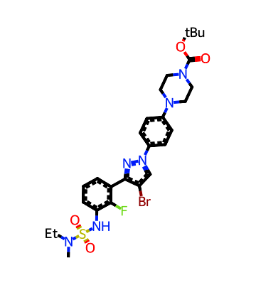 CCN(C)S(=O)(=O)Nc1cccc(-c2nn(-c3ccc(N4CCN(C(=O)OC(C)(C)C)CC4)cc3)cc2Br)c1F